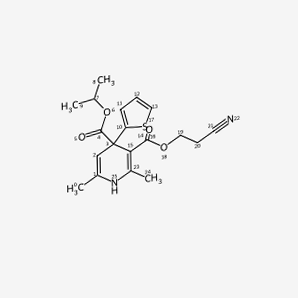 CC1=CC(C(=O)OC(C)C)(c2cccs2)C(C(=O)OCCC#N)=C(C)N1